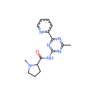 Cc1nc(NC(=O)C2CCCN2C)nc(-c2ccccn2)n1